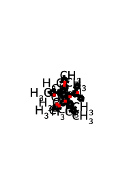 Cc1cc(C)c(-c2ccc3c(c2)c2cc(-c4c(C)cc(C)cc4C)ccc2n3-c2cc(-c3cc(-c4ccccc4)nc(-c4ccccc4)c3)cc(-n3c4ccc(-c5c(C)cc(C)cc5C)cc4c4cc(-c5c(C)cc(C)cc5C)ccc43)c2C#N)c(C)c1